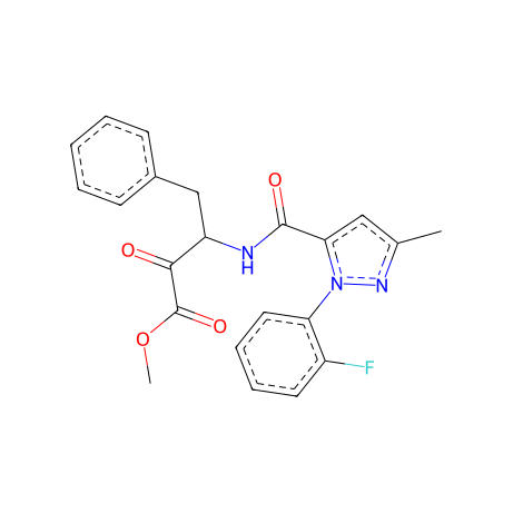 COC(=O)C(=O)C(Cc1ccccc1)NC(=O)c1cc(C)nn1-c1ccccc1F